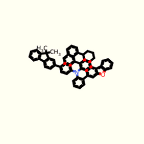 CC1(C)c2ccccc2-c2ccc(-c3ccc(N(c4ccccc4-c4ccc5c(c4)oc4ccccc45)c4ccccc4-c4cccc5cccc(C6CCCCC6)c45)cc3)cc21